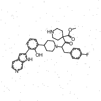 COC(=O)C1(C(=O)C(Cc2ccc(F)cc2)N2CCC(c3cccc(-c4cc5ccncc5[nH]4)c3O)CC2)CCNCC1